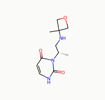 C[C@@H](CNC1(C)COC1)n1c(=O)cc[nH]c1=O